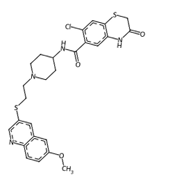 COc1ccc2ncc(SCCN3CCC(NC(=O)c4cc5c(cc4Cl)SCC(=O)N5)CC3)cc2c1